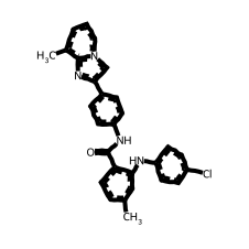 Cc1ccc(C(=O)Nc2ccc(-c3cn4cccc(C)c4n3)cc2)c(Nc2ccc(Cl)cc2)c1